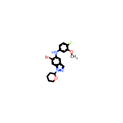 COc1cc(Nc2cc3cnn(C4CCCCO4)c3cc2Br)ccc1F